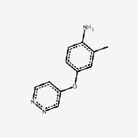 Cc1cc(Oc2ccnnc2)ccc1N